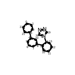 c1ccc(-c2cccc(-c3ccccc3-n3cnnc3)c2)cc1